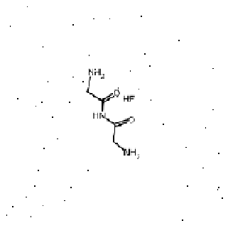 F.NCC(=O)NC(=O)CN